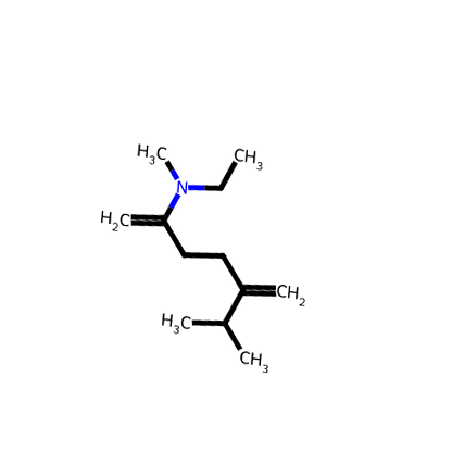 C=C(CCC(=C)N(C)CC)C(C)C